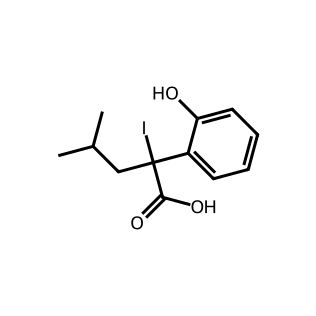 CC(C)CC(I)(C(=O)O)c1ccccc1O